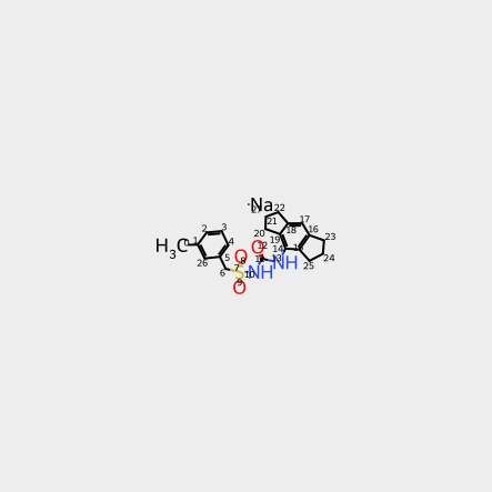 Cc1cccc(CS(=O)(=O)NC(=O)Nc2c3c(cc4c2CCC4)CCC3)c1.[Na]